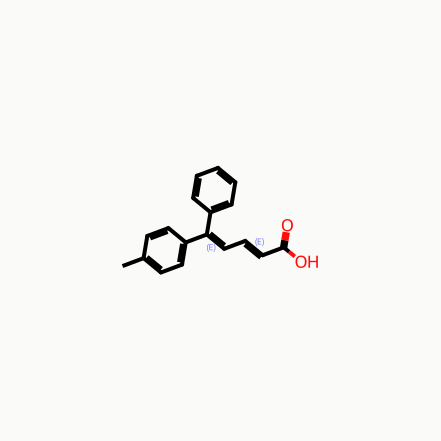 Cc1ccc(/C(=C/C=C/C(=O)O)c2ccccc2)cc1